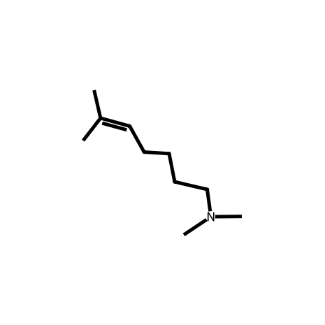 CC(C)=CCCCCN(C)C